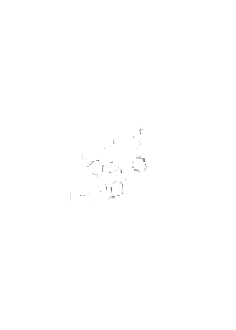 CCOCOc1c(C[Si](C)(Cc2cccc(C(C)C)c2OCOCC)Cc2cccc(C(C)C)c2OCOCC)cccc1C(C)C